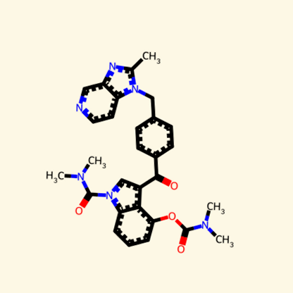 Cc1nc2cnccc2n1Cc1ccc(C(=O)c2cn(C(=O)N(C)C)c3cccc(OC(=O)N(C)C)c23)cc1